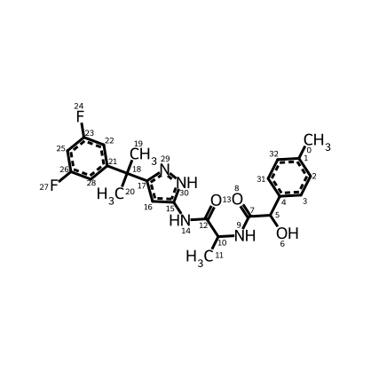 Cc1ccc(C(O)C(=O)NC(C)C(=O)Nc2cc(C(C)(C)c3cc(F)cc(F)c3)n[nH]2)cc1